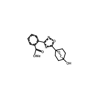 COC(=O)c1ccccc1-c1noc(C23CCC(O)(CC2)CO3)n1